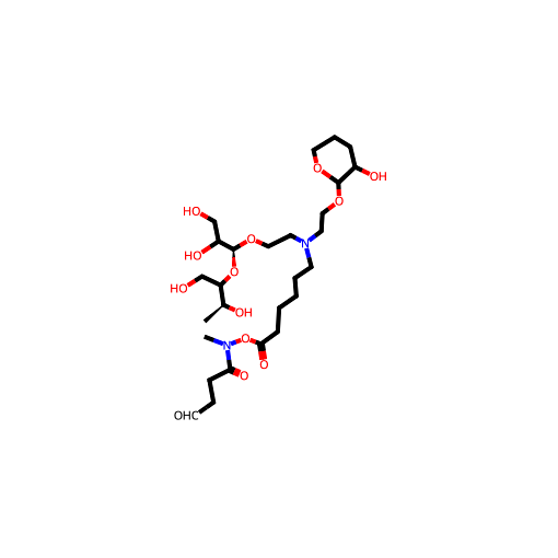 C[C@H](O)C(CO)O[C@H](OCCN(CCCCCC(=O)ON(C)C(=O)CCC=O)CCOC1OCCCC1O)C(O)CO